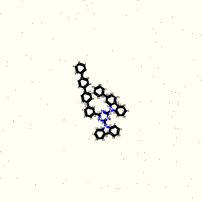 c1ccc(-c2ccc(-c3ccc(-c4cccc(-c5nc(-n6c7ccccc7c7ccccc76)nc(-n6c7ccccc7c7ccc(-c8ccccc8)cc76)n5)c4)cc3)cc2)cc1